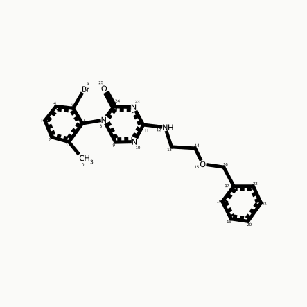 Cc1cccc(Br)c1-n1cnc(NCCOCc2ccccc2)nc1=O